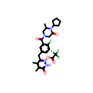 Cc1c(C)c(=O)[nH][n+](OC(=O)C(F)(F)F)c1Cc1ccc(F)c(C(=O)N2CC(=O)N(C3CCCC3)C(C)C2)c1